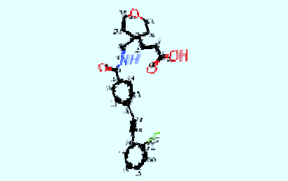 O=C(O)CCC1(CNC(=O)c2ccc(C#Cc3ccccc3F)cc2)CCOCC1